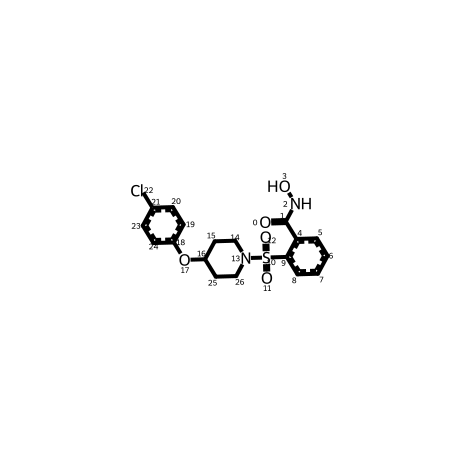 O=C(NO)c1ccccc1S(=O)(=O)N1CCC(Oc2ccc(Cl)cc2)CC1